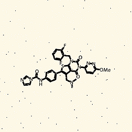 COc1ccc(-n2c(=O)c3c(CN(C)C)c(-c4ccc(NC(=O)n5ccnc5)cc4)sc3n(Cc3c(F)cccc3F)c2=O)nn1